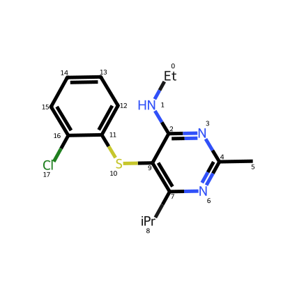 CCNc1nc(C)nc(C(C)C)c1Sc1ccccc1Cl